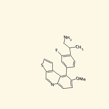 COc1ccc2ncc3sccc3c2c1-c1ccc(C(C)CN)c(F)c1